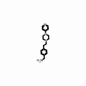 NCc1ccc(CCN2CCN(c3ccncc3)CC2)cc1